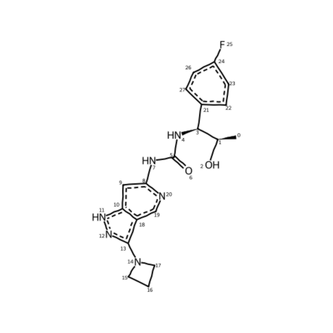 C[C@@H](O)[C@@H](NC(=O)Nc1cc2[nH]nc(N3CCC3)c2cn1)c1ccc(F)cc1